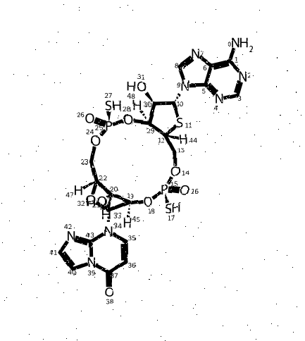 Nc1ncnc2c1ncn2[C@@H]1S[C@@H]2CO[P@@](=O)(S)O[C@@H]3[C@H](O)[C@@H](CO[P@@](=O)(S)O[C@H]2[C@H]1O)O[C@H]3n1ccc(=O)n2ccnc12